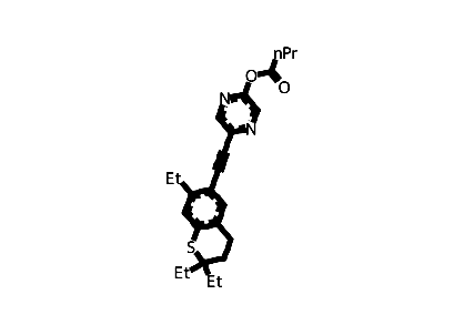 CCCC(=O)Oc1cnc(C#Cc2cc3c(cc2CC)SC(CC)(CC)CC3)cn1